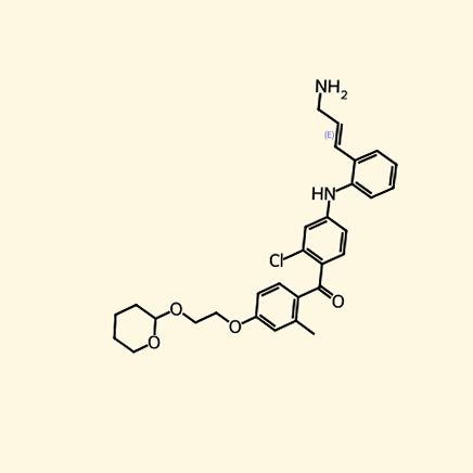 Cc1cc(OCCOC2CCCCO2)ccc1C(=O)c1ccc(Nc2ccccc2/C=C/CN)cc1Cl